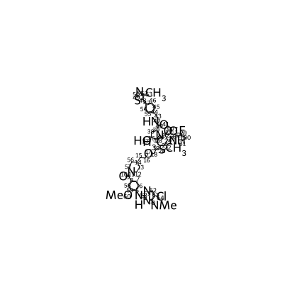 CNc1nc(Nc2ccc(C(=O)N3CCC(CCOCCSC(C)(C)[C@H](NC(=O)C4(F)CC4)C(=O)N4C[C@H](O)C[C@H]4C(=O)NCc4ccc(-c5scnc5C)cc4)CC3)cc2OC)ncc1Cl